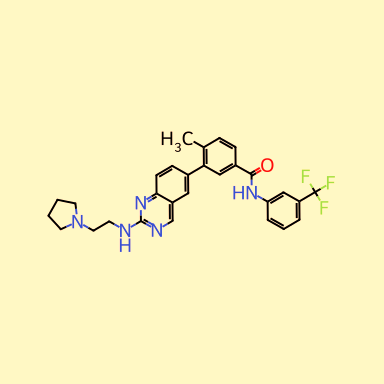 Cc1ccc(C(=O)Nc2cccc(C(F)(F)F)c2)cc1-c1ccc2nc(NCCN3CCCC3)ncc2c1